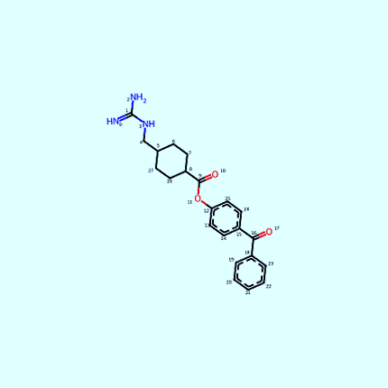 N=C(N)NCC1CCC(C(=O)Oc2ccc(C(=O)c3ccccc3)cc2)CC1